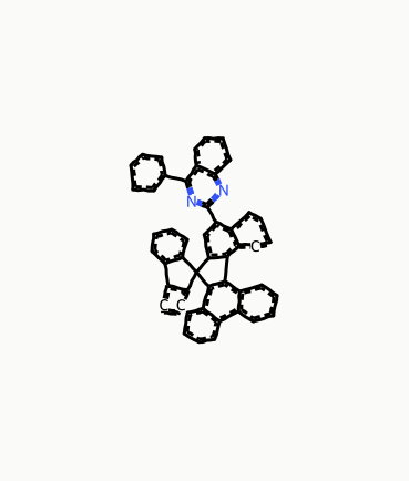 c1ccc(-c2nc(-c3cc4c(c5ccccc35)-c3c(c5ccccc5c5ccccc35)C43c4ccccc4-c4ccccc43)nc3ccccc23)cc1